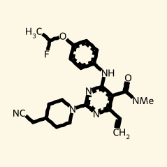 C=Cc1nc(N2CCC(CC#N)CC2)nc(Nc2ccc(OC(C)F)cc2)c1C(=O)NC